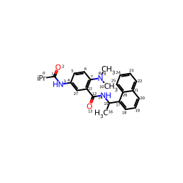 CC(C)C(=O)Nc1ccc(N(C)C)c(C(=O)NC(C)c2cccc3ccccc23)c1